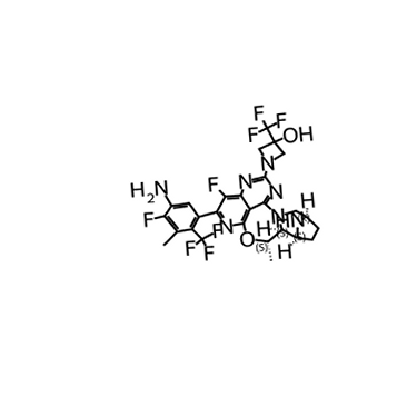 Cc1c(F)c(N)cc(-c2nc3c4c(nc(N5CC(O)(C(F)(F)F)C5)nc4c2F)N2C[C@H]4CC[C@H](N4)[C@H]2[C@H](C)O3)c1C(F)(F)F